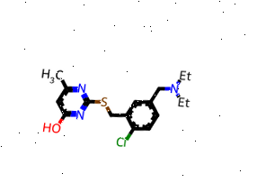 CCN(CC)Cc1ccc(Cl)c(CSc2nc(C)cc(O)n2)c1